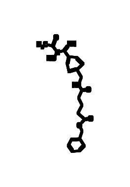 CC(=O)N(O)C(=N)c1ccc(CNC(=O)CCCC(=O)OCc2ccccc2)cc1